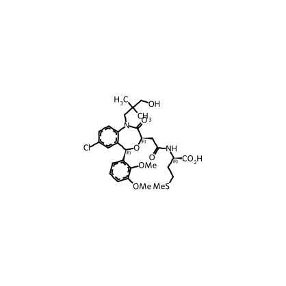 COc1cccc([C@@H]2O[C@H](CC(=O)N[C@H](CCSC)C(=O)O)C(=O)N(CC(C)(C)CO)c3ccc(Cl)cc32)c1OC